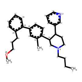 CCCCN1CCC(c2cccnc2)C(c2ccc(-c3ccccc3CCCOC)cc2C)C1